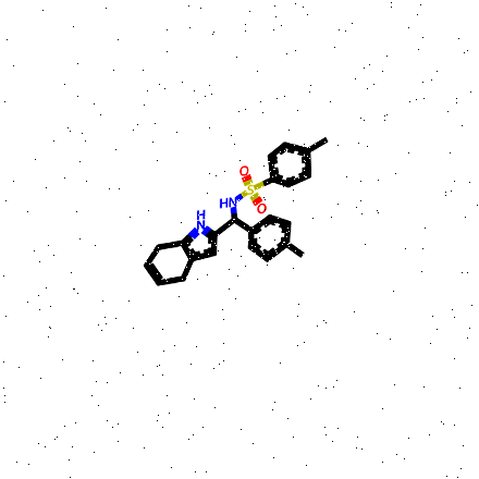 Cc1ccc(C(NS(=O)(=O)c2ccc(C)cc2)c2cc3c([nH]2)CC=CC3)cc1